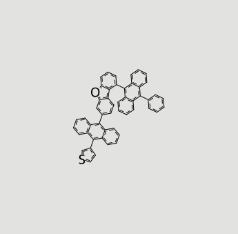 c1ccc(-c2c3ccccc3c(-c3cccc4oc5cc(-c6c7ccccc7c(-c7ccsc7)c7ccccc67)ccc5c34)c3ccccc23)cc1